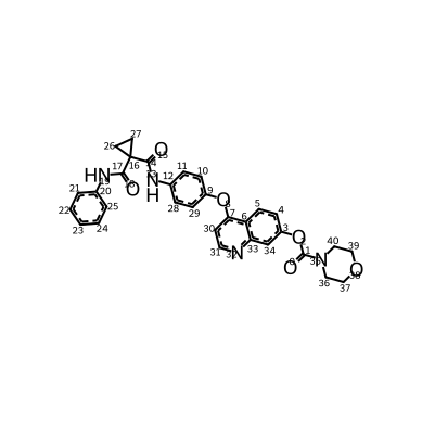 O=C(Oc1ccc2c(Oc3ccc(NC(=O)C4(C(=O)Nc5ccccc5)CC4)cc3)ccnc2c1)N1CCOCC1